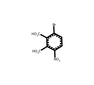 O=C(O)c1c(Br)ccc([N+](=O)[O-])c1C(=O)O